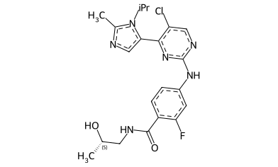 Cc1ncc(-c2nc(Nc3ccc(C(=O)NC[C@H](C)O)c(F)c3)ncc2Cl)n1C(C)C